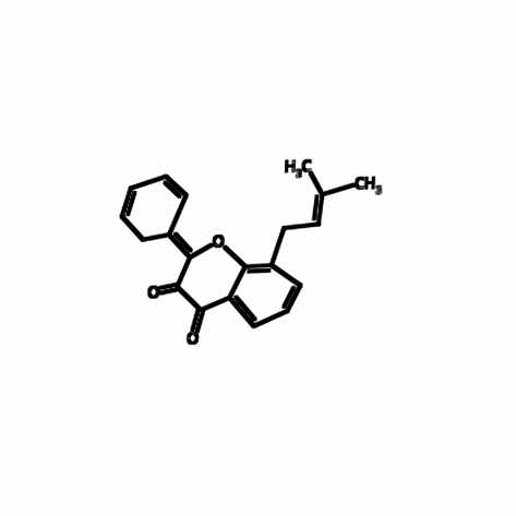 CC(C)=CCc1cccc2c1OC(=C1C=CC=CC1)C(=O)C2=O